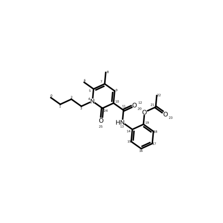 CCCCn1c(C)c(C)cc(C(=O)Nc2ccccc2OC(C)=O)c1=O